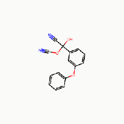 N#COC(O)(C#N)c1cccc(Oc2ccccc2)c1